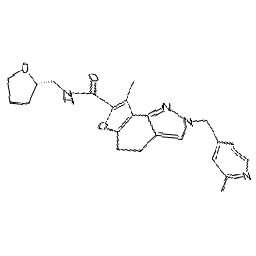 Cc1cc(Cn2cc3c(n2)-c2c(oc(C(=O)NC[C@@H]4CCCO4)c2C)CC3)ccn1